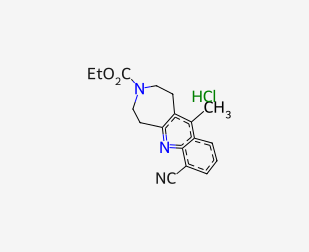 CCOC(=O)N1CCc2nc3c(C#N)cccc3c(C)c2CC1.Cl